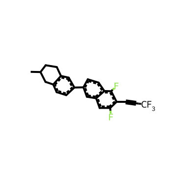 CC1CCc2cc(-c3ccc4c(F)c(C#CC(F)(F)F)c(F)cc4c3)ccc2C1